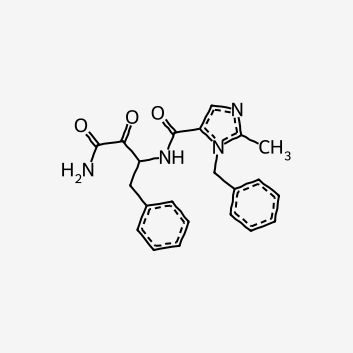 Cc1ncc(C(=O)NC(Cc2ccccc2)C(=O)C(N)=O)n1Cc1ccccc1